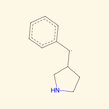 [CH](c1ccccc1)C1CCNC1